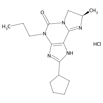 CCCN1C(=O)N2C[C@@H](C)N=C2c2[nH]c(C3CCCC3)nc21.Cl